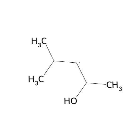 CC(C)[CH]C(C)O